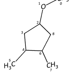 COC1CC(C)C(C)C1